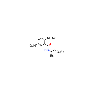 CCC(COC)NC(=O)c1cc([N+](=O)[O-])ccc1NC(C)=O